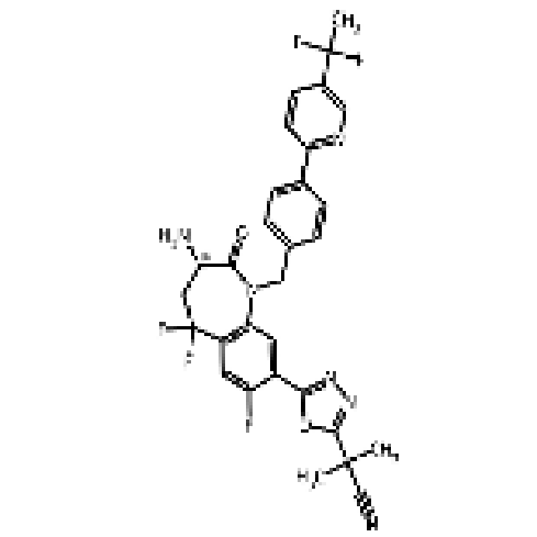 CC(F)(F)c1ccc(-c2ccc(CN3C(=O)[C@H](N)CC(F)(F)c4cc(F)c(-c5nnc(C(C)(C)C#N)o5)cc43)cc2)nc1